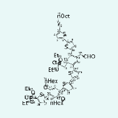 CCCCCCCCC#Cc1ccc(-c2ccc(-c3cc(CP(=O)(OCC)OCC)c(-c4ccc(-c5ccc(-c6cc(OCCCCCC)c(-c7ccc(P(=O)(OCC)OCC)s7)cc6OCCCCCC)s5)s4)cc3CC=O)s2)s1